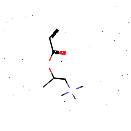 C=CC(=O)OC(CC)C[N+](C)(C)C.[Cl-]